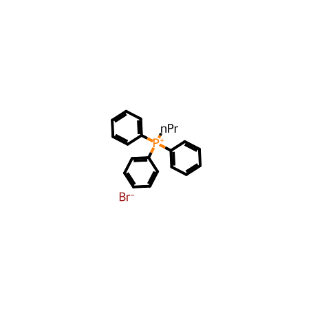 CCC[P+](c1ccccc1)(c1ccccc1)c1ccccc1.[Br-]